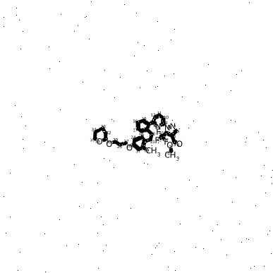 CCOC(=O)c1cnn(-c2cccc(-c3ccccc3CCc3ccc(OCCCOC4CCCCO4)cc3C)n2)c1C(F)(F)F